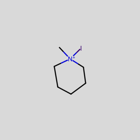 C[N+]1(I)CCCCC1